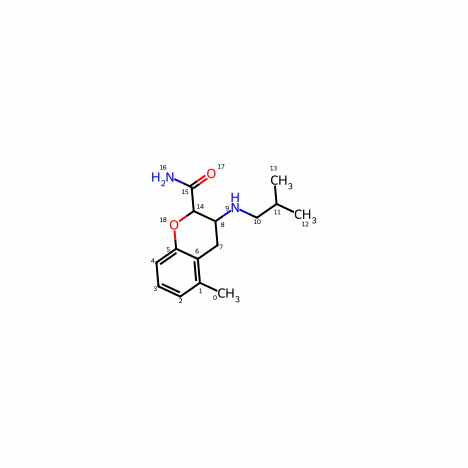 Cc1cccc2c1CC(NCC(C)C)C(C(N)=O)O2